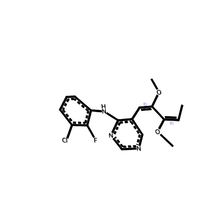 C/C=C(OC)\C(=C/c1cncnc1Nc1cccc(Cl)c1F)OC